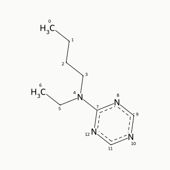 CCCCN(CC)c1n[c]ncn1